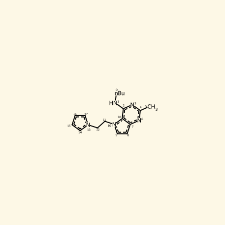 CCCCNc1nc(C)nc2ccn(CCn3cccc3)c12